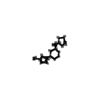 Brc1cnn(C2CCCC(NC3CCOC3)C2)c1